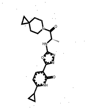 C[C@H](Nc1nnc(-c2ccc(C3CC3)[nH]c2=O)o1)C(=O)N1CCC2(CC1)CC2